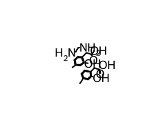 Cc1ccc(CC(=O)O)c(O)c1.Cc1ccc(CC(=O)O)c(O)c1.NCCN